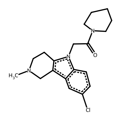 CN1CCc2c(c3cc(Cl)ccc3n2CC(=O)N2CCCCC2)C1